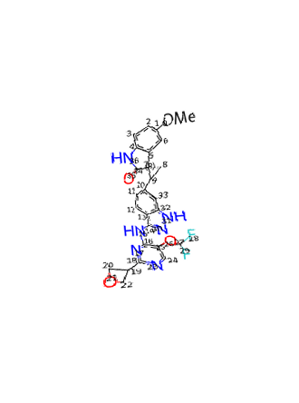 COc1ccc2c(c1)[C@]1(CC1c1ccc3c(Nc4nc(C5COC5)ncc4OC(F)F)n[nH]c3c1)C(=O)N2